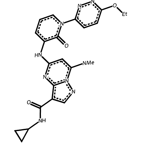 CCOc1ccc(-n2cccc(Nc3cc(NC)n4ncc(C(=O)NC5CC5)c4n3)c2=O)nn1